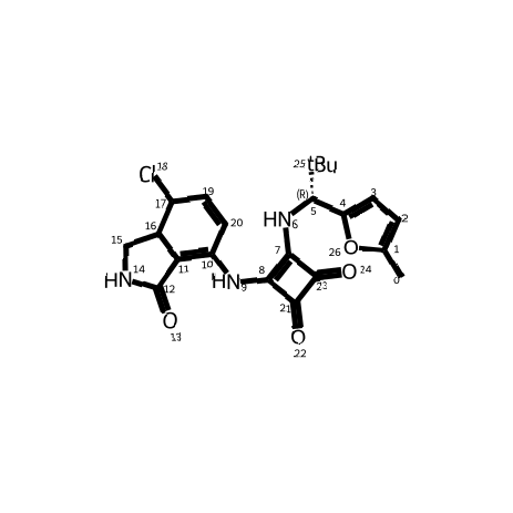 Cc1ccc([C@H](Nc2c(NC3=C4C(=O)NCC4C(Cl)C=C3)c(=O)c2=O)C(C)(C)C)o1